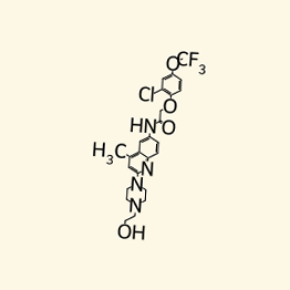 Cc1cc(N2CCN(CCO)CC2)nc2ccc(NC(=O)COc3ccc(OC(F)(F)F)cc3Cl)cc12